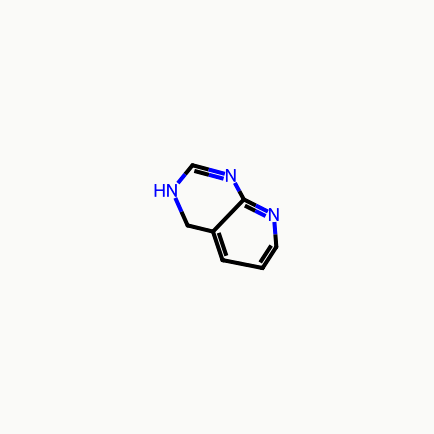 C1=Nc2ncccc2CN1